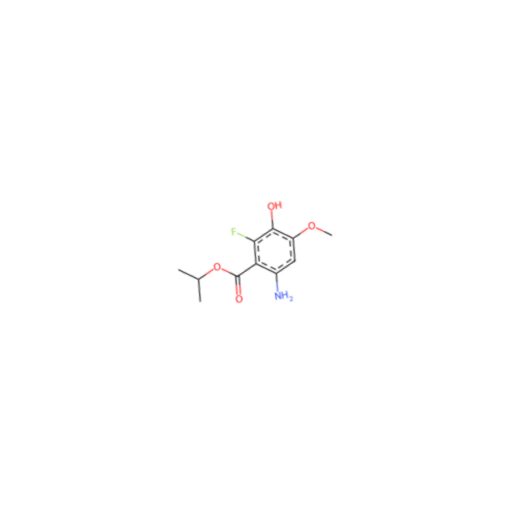 COc1cc(N)c(C(=O)OC(C)C)c(F)c1O